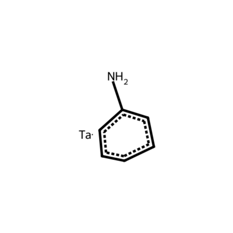 Nc1ccccc1.[Ta]